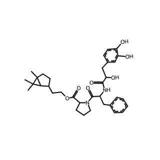 CC1(C)C2C(CCOC(=O)C3CCCN3C(=O)C(Cc3ccccc3)NC(=O)C(O)Cc3ccc(O)c(O)c3)CCC21C